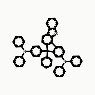 c1ccc(N(c2ccccc2)c2ccc(C3(c4ccccc4)c4cc(N(c5ccccc5)c5ccccc5)ccc4-c4c3ccc3c4sc4ccccc43)cc2)cc1